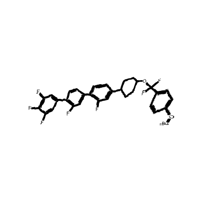 CCCCOc1ccc(C(F)(F)OC2CCC(c3ccc(-c4ccc(-c5cc(F)c(F)c(F)c5)c(F)c4)c(F)c3)CC2)cc1